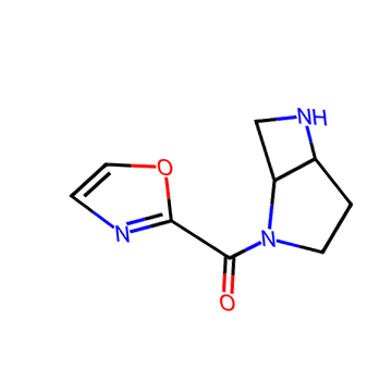 O=C(c1ncco1)N1CCC2NCC21